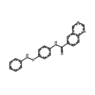 O=C(Nc1ccc(SNc2ccccc2)cc1)c1ccc2ncncc2c1